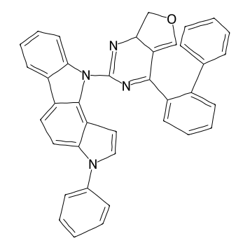 C1=C2C(c3ccccc3-c3ccccc3)=NC(n3c4ccccc4c4ccc5c(ccn5-c5ccccc5)c43)=NC2CO1